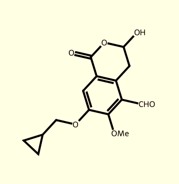 COc1c(OCC2CC2)cc2c(c1C=O)CC(O)OC2=O